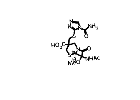 COC1(NC(C)=O)C(=O)N2CC(CSc3nncn3C(N)=O)(C(=O)O)CS[C@@H]21